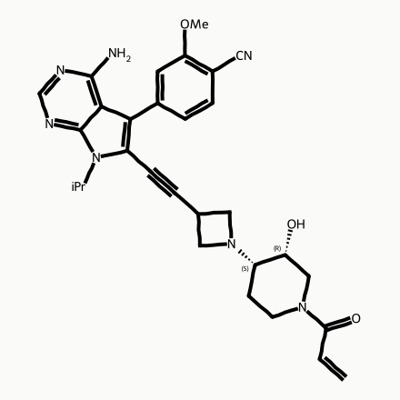 C=CC(=O)N1CC[C@H](N2CC(C#Cc3c(-c4ccc(C#N)c(OC)c4)c4c(N)ncnc4n3C(C)C)C2)[C@H](O)C1